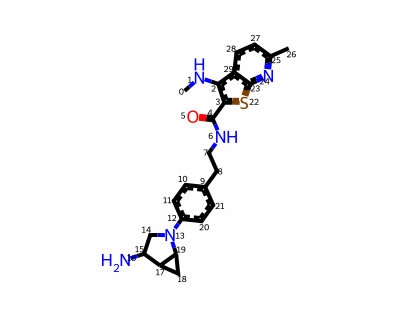 CNc1c(C(=O)NCCc2ccc(N3CC(N)C4CC43)cc2)sc2nc(C)ccc12